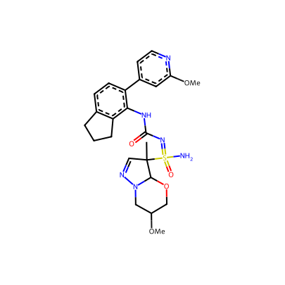 COc1cc(-c2ccc3c(c2NC(=O)N=S(N)(=O)C2(C)C=NN4CC(OC)COC42)CCC3)ccn1